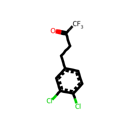 O=C(CCc1ccc(Cl)c(Cl)c1)C(F)(F)F